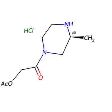 CC(=O)OCC(=O)N1CCN[C@@H](C)C1.Cl